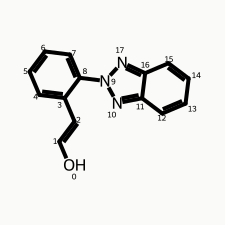 OC=Cc1ccccc1-n1nc2ccccc2n1